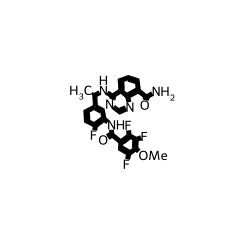 COc1c(F)cc(C(=O)Nc2cc([C@@H](C)Nc3ncnc4c(C(N)=O)cccc34)ccc2F)c(F)c1F